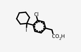 O=C(O)Cc1ccc(C2(I)CCCCC2)c(Cl)c1